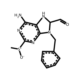 C[S+]([O-])c1nc(N)c2c(n1)N(Cc1ccccc1)C(C=O)N2